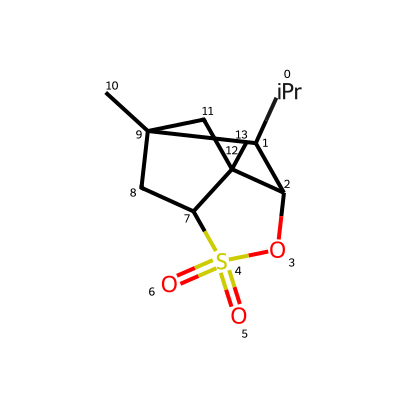 CC(C)C1C2OS(=O)(=O)C3CC1(C)CC23C